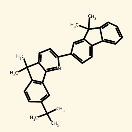 CC(C)(C)c1ccc2c(c1)-c1nc(-c3ccc4c(c3)C(C)(C)c3ccccc3-4)ccc1C2(C)C